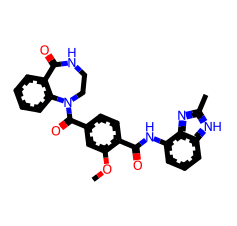 COc1cc(C(=O)N2CCNC(=O)c3ccccc32)ccc1C(=O)Nc1cccc2[nH]c(C)nc12